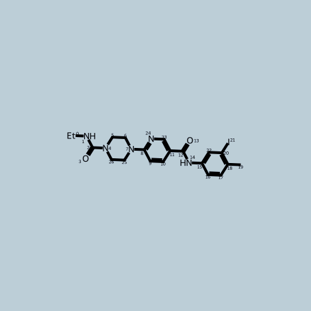 CCNC(=O)N1CCN(c2ccc(C(=O)Nc3ccc(C)c(I)c3)cn2)CC1